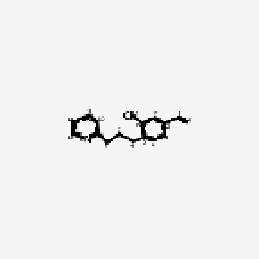 C=Cc1ccc(CCCc2ccccn2)c(Cl)c1